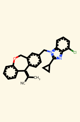 C/C(C#N)=C1\c2ccc(Cn3c(C4CC4)nc4c(Cl)cccc43)cc2COc2ccccc21